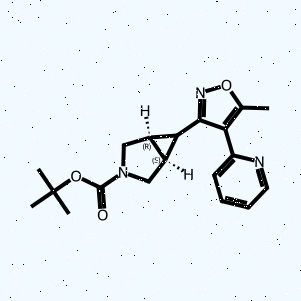 Cc1onc(C2[C@H]3CN(C(=O)OC(C)(C)C)C[C@@H]23)c1-c1ccccn1